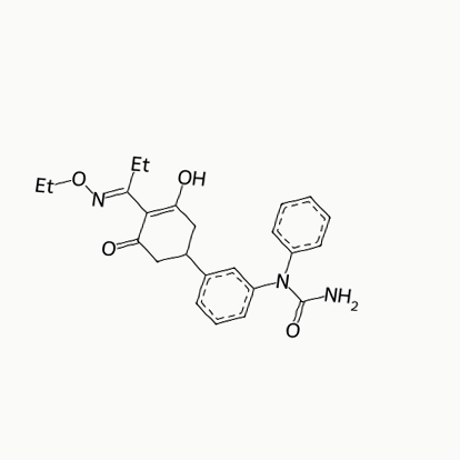 CCON=C(CC)C1=C(O)CC(c2cccc(N(C(N)=O)c3ccccc3)c2)CC1=O